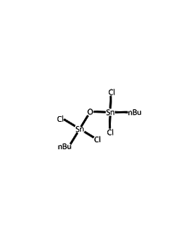 CCC[CH2][Sn]([Cl])([Cl])[O][Sn]([Cl])([Cl])[CH2]CCC